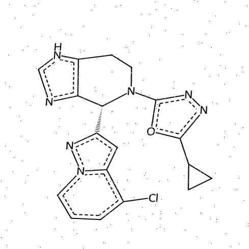 Clc1cccn2nc([C@@H]3c4nc[nH]c4CCN3c3nnc(C4CC4)o3)cc12